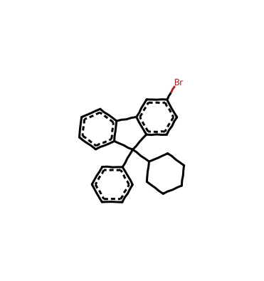 Brc1ccc2c(c1)-c1ccccc1C2(c1ccccc1)C1CCCCC1